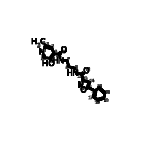 Cc1cc(C(=O)NCCCNC(=O)c2cc(-c3ccccc3)on2)c(O)cn1